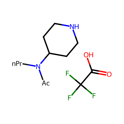 CCCN(C(C)=O)C1CCNCC1.O=C(O)C(F)(F)F